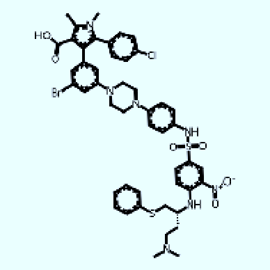 Cc1c(C(=O)O)c(-c2cc(Br)cc(N3CCN(c4ccc(NS(=O)(=O)c5ccc(N[C@H](CCN(C)C)CSc6ccccc6)c([N+](=O)[O-])c5)cc4)CC3)c2)c(-c2ccc(Cl)cc2)n1C